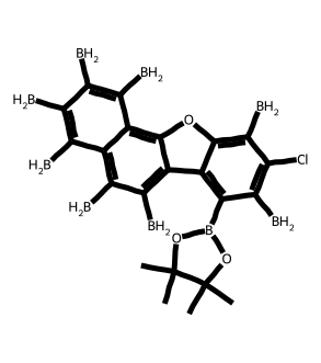 Bc1c(B)c(B)c2c(c1B)c(B)c(B)c1c2oc2c(B)c(Cl)c(B)c(B3OC(C)(C)C(C)(C)O3)c21